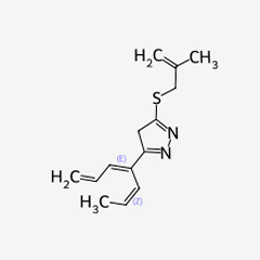 C=C/C=C(\C=C/C)C1=NN=C(SCC(=C)C)C1